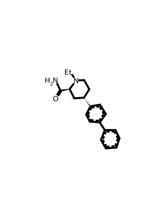 CCN1CC[C@H](c2ccc(-c3ccccc3)cc2)[CH][C@H]1C(N)=O